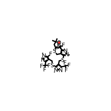 Cn1nc(C(F)(F)F)c(CSc2c(CSc3c(CSC4=NOC(C)(C)C4)c(C(F)(F)F)nn3C)c(C(F)(F)F)nn2C)c1F